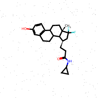 C[C@]12CCC3c4ccc(O)cc4CCC3C1[C@H](CCC(=O)NC1CC1)CC2(F)F